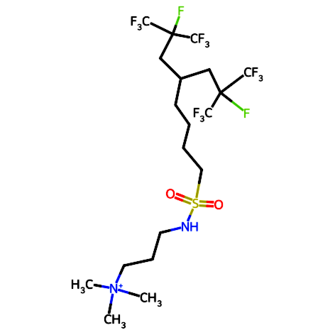 C[N+](C)(C)CCCNS(=O)(=O)CCCCC(CC(F)(C(F)(F)F)C(F)(F)F)CC(F)(C(F)(F)F)C(F)(F)F